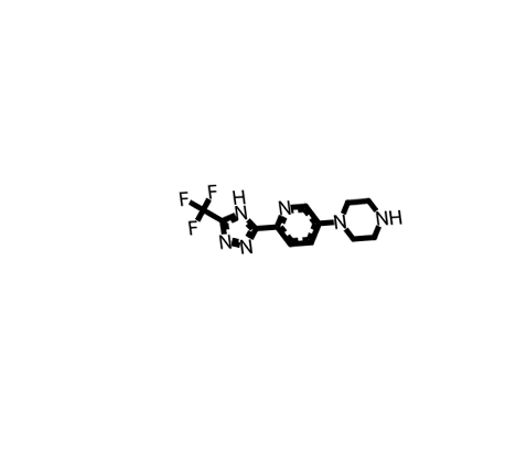 FC(F)(F)c1nnc(-c2ccc(N3CCNCC3)cn2)[nH]1